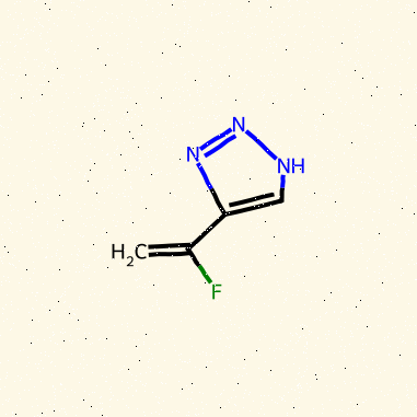 C=C(F)c1c[nH]nn1